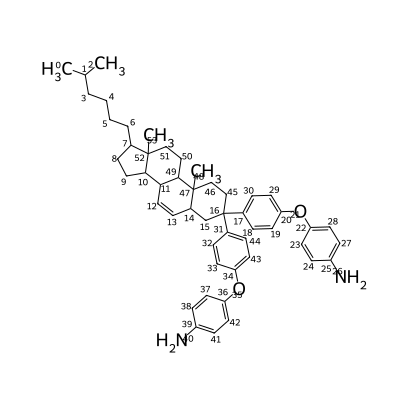 CC(C)CCCCC1CCC2C3C=CC4CC(c5ccc(Oc6ccc(N)cc6)cc5)(c5ccc(Oc6ccc(N)cc6)cc5)CCC4(C)C3CCC12C